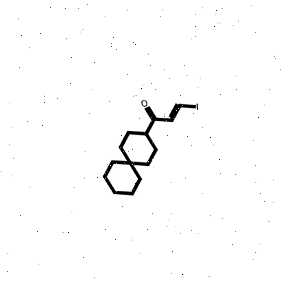 O=C(C=CI)C1CCC2(CCCCC2)CC1